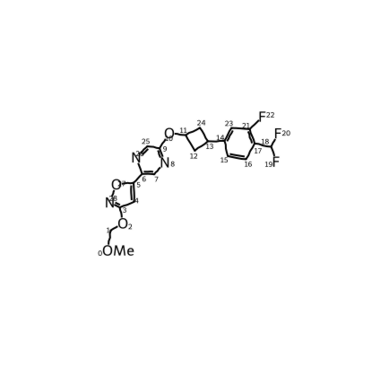 COCOc1cc(-c2cnc(OC3CC(c4ccc(C(F)F)c(F)c4)C3)cn2)on1